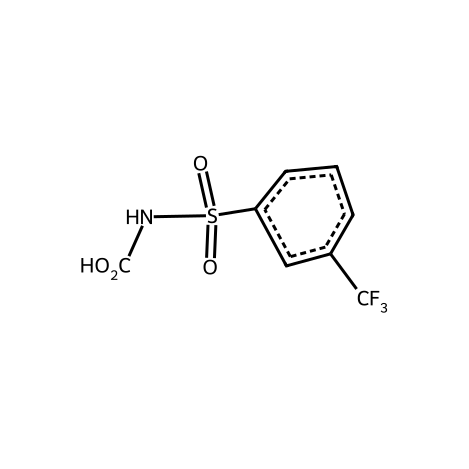 O=C(O)NS(=O)(=O)c1cccc(C(F)(F)F)c1